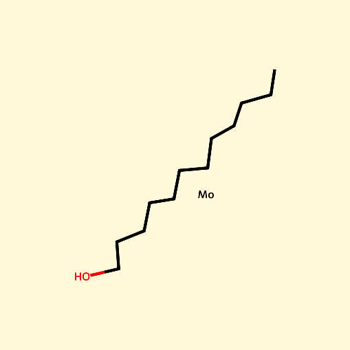 CCCCCCCCCCCCO.[Mo]